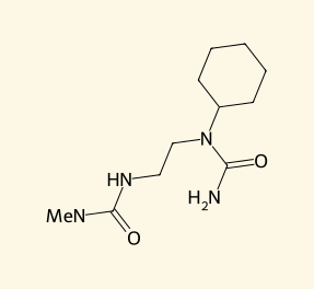 CNC(=O)NCCN(C(N)=O)C1CCCCC1